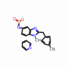 Cn1c(Cc2ccc(C#N)cc2)nc2cc(N=S(=O)=O)ccc21.c1ccncc1